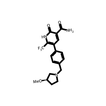 CO[C@@H]1CCN(Cc2ccc(-c3cc(C(N)=O)c(=O)[nH]c3C(F)(F)F)cc2)C1